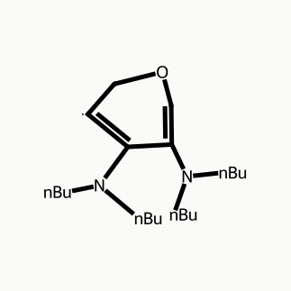 CCCCN(CCCC)C1=[C]COC=C1N(CCCC)CCCC